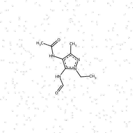 CCn1nc(C)c(NC(C)=O)c1NC=O